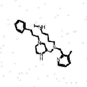 Cc1cccnc1CN(CCCCNI)C[C@@H]1CN(CCCc2ccccc2)CCN1